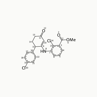 COC(=O)c1cccc(NC2=CC(=O)CCC2c2ccc(Cl)cc2)c1Cl